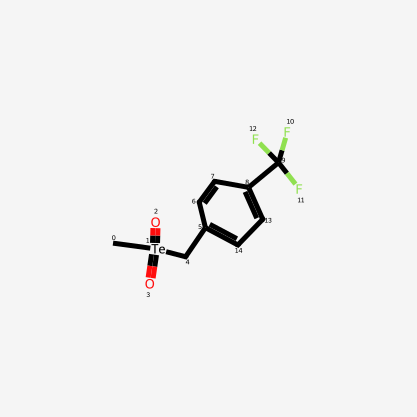 C[Te](=O)(=O)Cc1ccc(C(F)(F)F)cc1